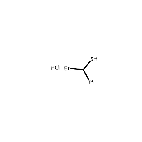 CCC(S)C(C)C.Cl